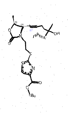 CCCCCC(C)(O)C/C=C/[C@H]1[C@H](C)OC(=O)N1CCSc1nc(C(=O)OCCCC)cs1